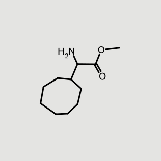 COC(=O)C(N)C1CCCCCCC1